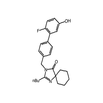 CCCCC1=NC2(CCCCC2)C(=O)N1Cc1ccc(-c2cc(O)ccc2F)cc1